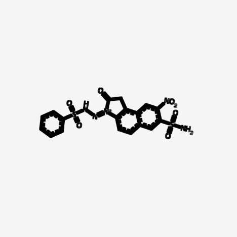 NS(=O)(=O)c1cc2ccc3c(c2cc1[N+](=O)[O-])CC(=O)[N+]3=NNS(=O)(=O)c1ccccc1